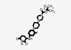 CC(C)(C)OC(=O)N1CCN(C2CCN(c3ccc(NC4CCC(=O)NC4=O)cc3F)CC2)CC1